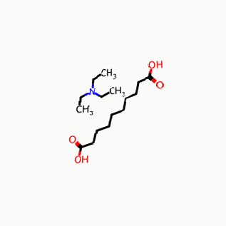 CCN(CC)CC.O=C(O)CCCCCCCCC(=O)O